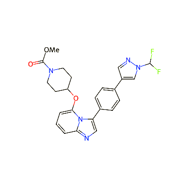 COC(=O)N1CCC(Oc2cccc3ncc(-c4ccc(-c5cnn(C(F)F)c5)cc4)n23)CC1